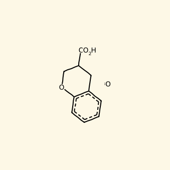 O=C(O)C1COc2ccccc2C1.[O]